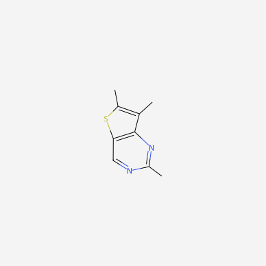 Cc1ncc2sc(C)c(C)c2n1